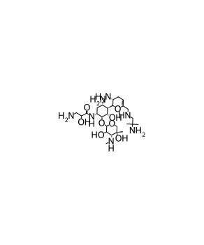 CN[C@@H]1[C@@H](O)[C@@H](O[C@@H]2[C@@H](O)[C@H](C3OC(CNCC(C)(C)N)=CC[C@H]3N)[C@@H](N)C[C@H]2NC(=O)[C@@H](O)CN)OC[C@]1(C)O